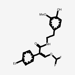 CCc1ccc(C(=COC(F)F)C(=O)NCCc2ccc(O)c(OC)c2)cc1